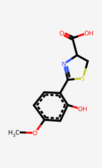 COc1ccc(C2=NC(C(=O)O)CS2)c(O)c1